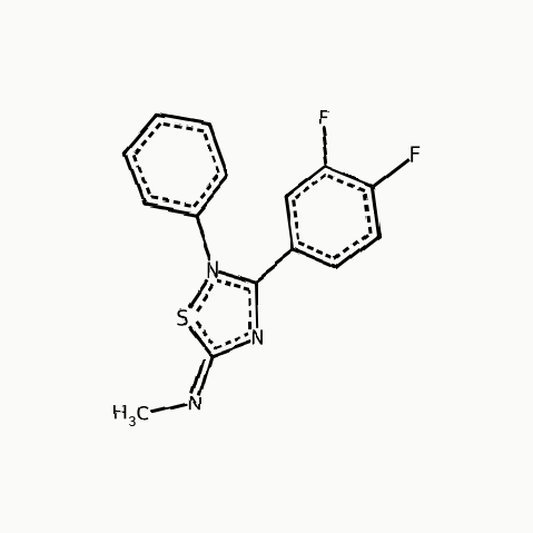 CN=c1nc(-c2ccc(F)c(F)c2)n(-c2ccccc2)s1